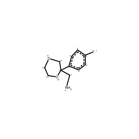 NCC1(c2ccc(F)cc2)COCCO1